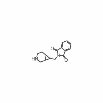 O=C1c2ccccc2C(=O)N1CC1C2CCNCC21